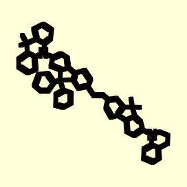 CC1(C)c2cc(/C=C/c3ccc4c(c3)C(c3ccccc3)(c3ccccc3)c3cc(N5c6ccccc6C(C)(C)c6ccccc65)ccc3-4)ccc2-c2ccc(N3CCCc4ccccc43)cc21